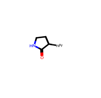 [CH2]CCC1CCNC1=O